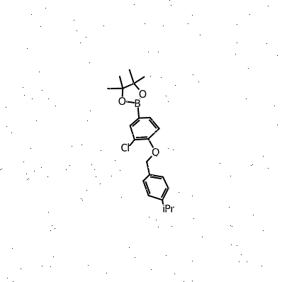 CC(C)c1ccc(COc2ccc(B3OC(C)(C)C(C)(C)O3)cc2Cl)cc1